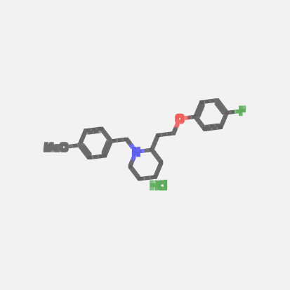 COc1ccc(CN2CCCCC2CCOc2ccc(F)cc2)cc1.Cl